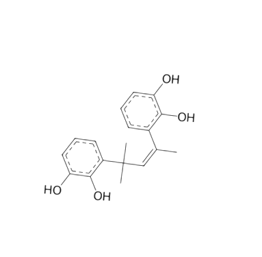 C/C(=C/C(C)(C)c1cccc(O)c1O)c1cccc(O)c1O